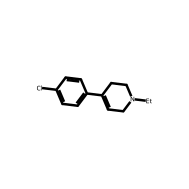 CCN1CC=C(c2ccc(Cl)cc2)CC1